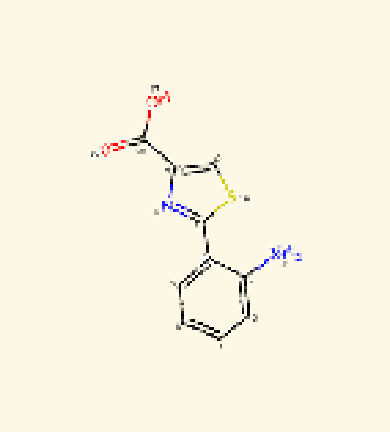 Nc1ccccc1-c1nc(C(=O)O)cs1